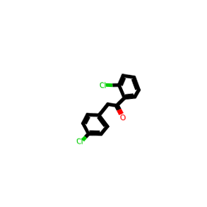 O=C(Cc1ccc(Cl)cc1)c1ccccc1Cl